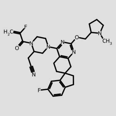 C=C(F)C(=O)N1CCN(c2nc(OCC3CCCN3C)nc3c2CCC2(CCc4ccc(F)cc42)C3)CC1CC#N